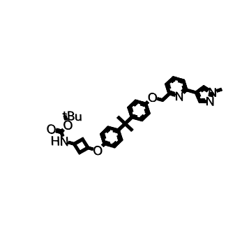 Cn1cc(-c2cccc(COc3ccc(C(C)(C)c4ccc(OC5CC(NC(=O)OC(C)(C)C)C5)cc4)cc3)n2)cn1